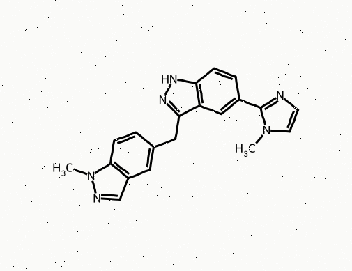 Cn1ccnc1-c1ccc2[nH]nc(Cc3ccc4c(cnn4C)c3)c2c1